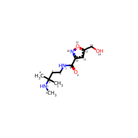 CNC(C)(C)CCNC(=O)c1cc(CO)on1